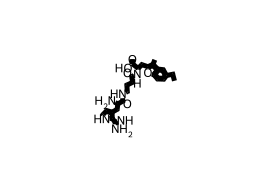 CCc1ccc2oc(CC(NC(=O)CCCNC(=O)C(N)CC3=CCNC3C(=N)N)C(=O)O)c(C)c2c1